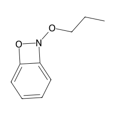 CCCOn1oc2ccccc21